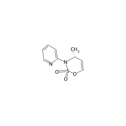 C[C@@H]1C=COS(=O)(=O)N1c1ccccn1